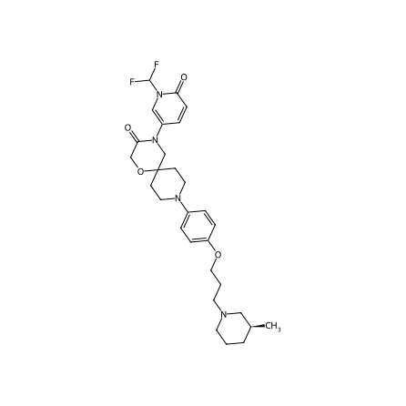 C[C@H]1CCCN(CCCOc2ccc(N3CCC4(CC3)CN(c3ccc(=O)n(C(F)F)c3)C(=O)CO4)cc2)C1